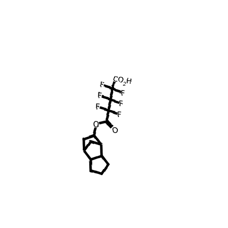 O=C(O)C(F)(F)C(F)(F)C(F)(F)C(=O)OC1CC2CC1C1CCCC21